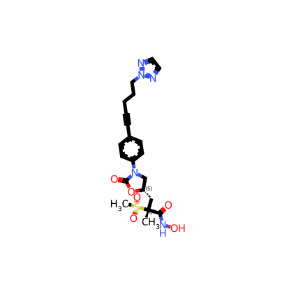 C[C@@](C[C@H]1CN(c2ccc(C#CCCCn3nccn3)cc2)C(=O)O1)(C(=O)NO)S(C)(=O)=O